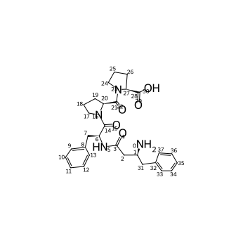 N[C@H](CC(=O)N[C@@H](Cc1ccccc1)C(=O)N1CCC[C@H]1C(=O)N1CCC[C@H]1C(=O)O)Cc1ccccc1